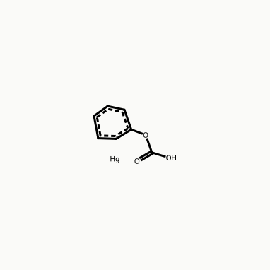 O=C(O)Oc1ccccc1.[Hg]